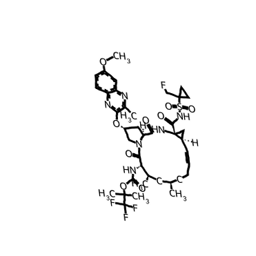 COc1ccc2nc(O[C@@H]3C[C@H]4C(=O)N[C@]5(C(=O)NS(=O)(=O)C6(CF)CC6)C[C@H]5/C=C\CC[C@@H](C)C[C@@H](C)[C@H](NC(=O)OC(C)(C)C(F)(F)F)C(=O)N4C3)c(C)nc2c1